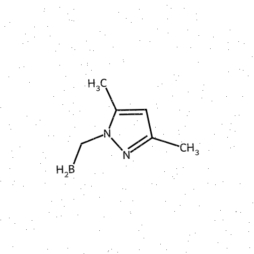 BCn1nc(C)cc1C